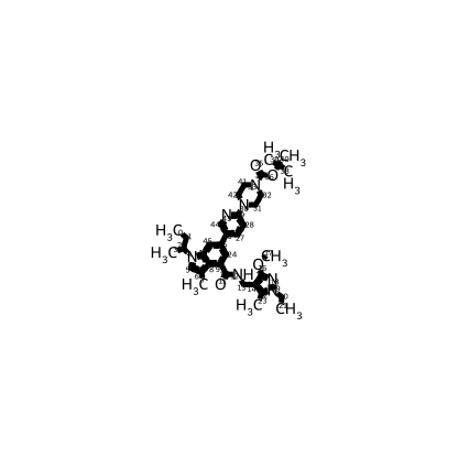 CCC(C)n1cc(C)c2c(C(=O)NCc3c(OC)nn(CC)c3C)cc(-c3ccc(N4CCN(C(=O)OC(C)(C)C)CC4)nc3)cc21